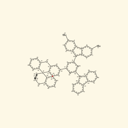 CC(C)(C)c1ccc2c(c1)c1cc(C(C)(C)C)ccc1n2-c1cc(-c2ccc3c(c2)Oc2ccccc2S32c3ccccc3Oc3ccccc32)nc(-n2c3ccccc3c3ccccc32)n1